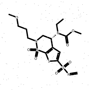 C=NS(=O)(=O)c1cc2c(s1)S(=O)(=O)N(CCCOC)C[C@@H]2N(CC)C(=O)OC